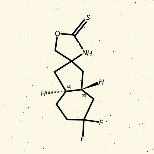 FC1(F)CC[C@H]2CC3(COC(=S)N3)C[C@@H]2C1